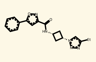 CCc1cn([C@H]2C[C@@H](NC(=O)c3cc(-c4ccccc4)on3)C2)nn1